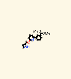 COC(OC)c1cccc(-c2cccc(OCC3CCN3)n2)c1